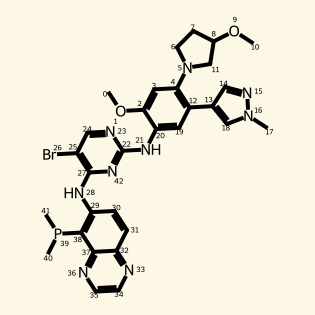 COc1cc(N2CCC(OC)C2)c(-c2cnn(C)c2)cc1Nc1ncc(Br)c(Nc2ccc3nccnc3c2P(C)C)n1